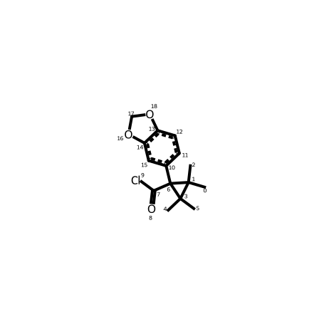 CC1(C)C(C)(C)C1(C(=O)Cl)c1ccc2c(c1)OCO2